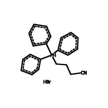 Br.N#CCCC[PH](c1ccccc1)(c1ccccc1)c1ccccc1